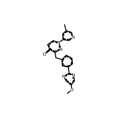 COc1cnc(-c2cccc(Cc3nn(-c4cncc(C)c4)ccc3=O)c2)nc1